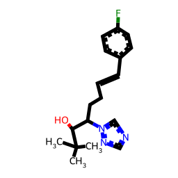 CC(C)(C)C(O)C(CCC=Cc1ccc(F)cc1)n1cncn1